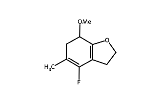 COC1CC(C)=C(F)C2=C1OCC2